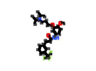 COc1ccc(NC(=O)/C=C/c2cccc(C(F)(F)F)c2)cc1OCCCN(C(C)C)C(C)C